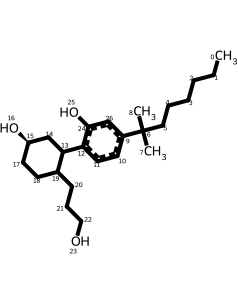 CCCCCCC(C)(C)c1ccc(C2C[C@H](O)CCC2CCCO)c(O)c1